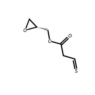 O=C(CC=S)OC[C@H]1CO1